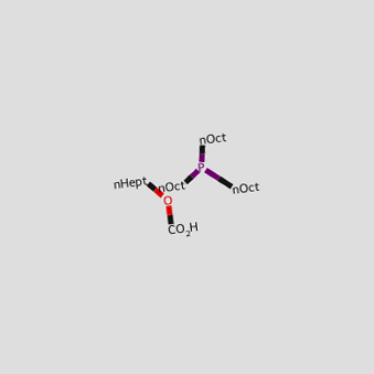 CCCCCCCCP(CCCCCCCC)CCCCCCCC.CCCCCCCOC(=O)O